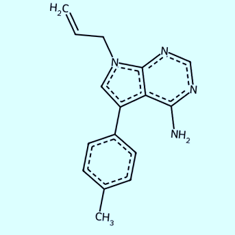 C=CCn1cc(-c2ccc(C)cc2)c2c(N)ncnc21